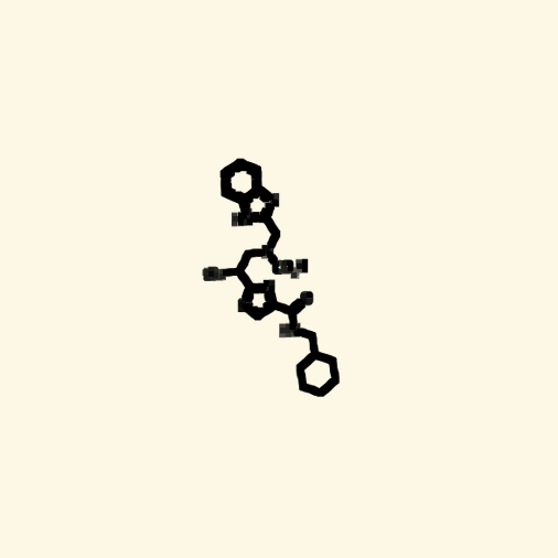 CC(C)(C)C(CN(Cc1nc2ccccc2[nH]1)C(=O)O)c1nc(C(=O)NCC2CCCCC2)cs1